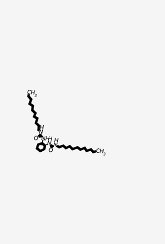 CCCCCCCCCCCCNC(=O)N[C@@H]1CCCC[C@H]1NC(=O)NCCCCCCCCCCCC